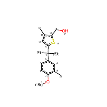 CCCCOc1ccc(C(CC)(CC)c2cc(C)c(CO)s2)cc1C